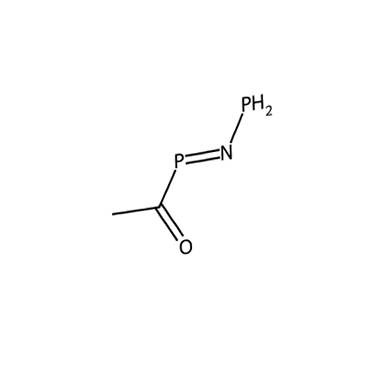 CC(=O)/P=N/P